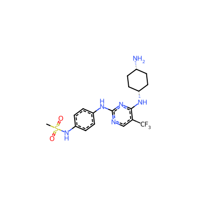 CS(=O)(=O)Nc1ccc(Nc2ncc(C(F)(F)F)c(N[C@H]3CC[C@@H](N)CC3)n2)cc1